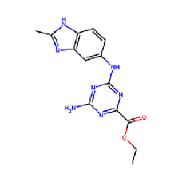 CCOC(=O)c1nc(N)nc(Nc2ccc3[nH]c(C)nc3c2)n1